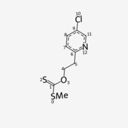 CSC(=S)OCCc1ccc(Cl)cn1